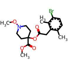 COC(=O)C1(OC(=O)Cc2c(C)ccc(Br)c2C)CCN(OC)CC1